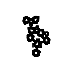 c1ccc(-c2nc(-c3ccccc3)nc(-c3cccc4oc5cc6sc7c(-n8c9ccccc9c9ccccc98)cccc7c6cc5c34)n2)cc1